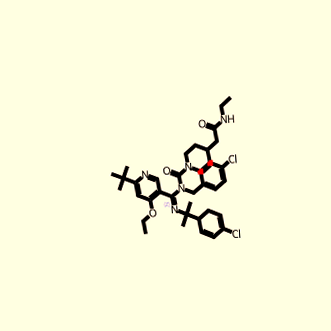 CCNC(=O)CC1CCN(C(=O)N(Cc2ccc(Cl)cc2)/C(=N\C(C)(C)C2C=CC(Cl)=CC2)c2cnc(C(C)(C)C)cc2OCC)CC1